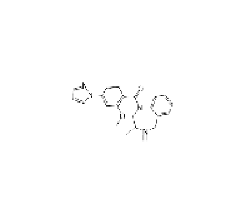 COc1cc(-n2cccn2)ccc1C(=O)N1C[C@@H](C)NCc2ccccc21